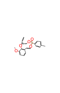 C=Cc1cccc(OC)c1O[C@@H](C=C)COS(=O)(=O)c1ccc(C)cc1